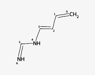 C=C/C=C/NC=N